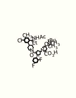 CC[C@H](NC(C)=O)c1cc(C)c(Cl)cc1C1CCN(C(=O)[C@H]2CC(N3C[C@H](O[Si](C)(C)C(C)(C)C)C[C@@H]3C(=O)O)C[C@@H]2c2ccc(F)cc2F)CC1